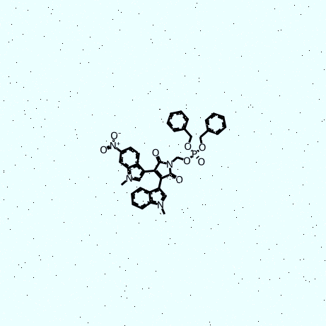 Cn1cc(C2=C(c3cn(C)c4cc([N+](=O)[O-])ccc34)C(=O)N(COP(=O)(OCc3ccccc3)OCc3ccccc3)C2=O)c2ccccc21